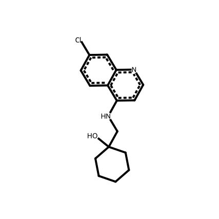 OC1(CNc2ccnc3cc(Cl)ccc23)CCCCC1